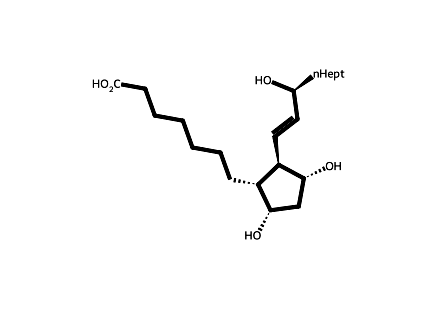 CCCCCCC[C@H](O)C=C[C@@H]1[C@@H](CCCCCCC(=O)O)[C@@H](O)C[C@H]1O